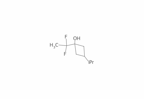 CC(C)C1CC(O)(C(C)(F)F)C1